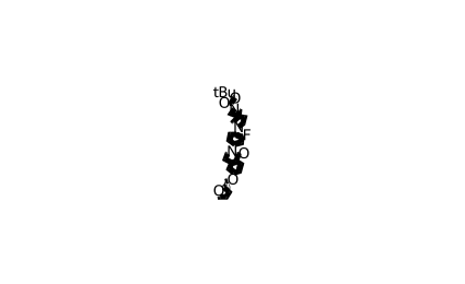 CC(C)(C)OC(=O)N1CC2(CCN(c3ccc(N4CCc5cc(OC[C@@H]6CCCO6)ccc5C4=O)cc3F)C2)C1